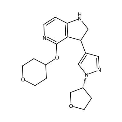 c1cc2c(c(OC3CCOCC3)n1)C(c1cnn([C@@H]3CCOC3)c1)CN2